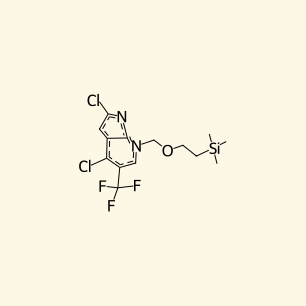 C[Si](C)(C)CCOCn1cc(C(F)(F)F)c(Cl)c2cc(Cl)nc1-2